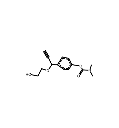 C#CC(OCCO)c1ccc(OC(=O)N(C)C)cc1